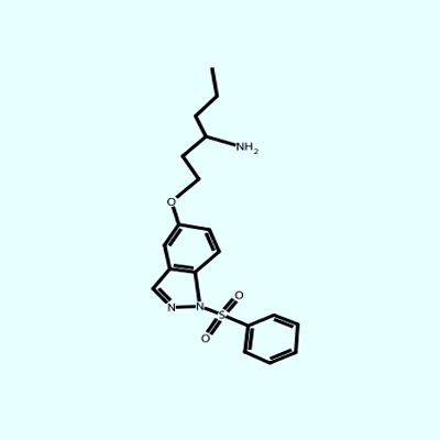 CCCC(N)CCOc1ccc2c(cnn2S(=O)(=O)c2ccccc2)c1